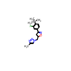 Cc1cn(CC2CC(c3cc[c]([Sn]([CH3])([CH3])[CH3])c(F)c3)=NO2)nn1